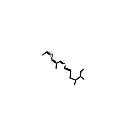 C\C=N/C=C(C)\C=N/C=C/CC(C)C(C)CC